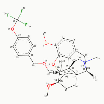 COc1ccc2c3c1O[C@H]1[C@@]4(OC)CC[C@@]5(C[C@@H]4COCc4ccc(OC(F)(F)F)cc4)[C@@H](C2)N(C)CC[C@]315